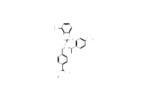 COC(=O)c1ccc(CN(c2nc3cccc(F)c3s2)C(C)c2ccc(OC)cc2)cc1